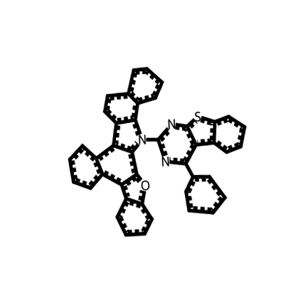 c1ccc(-c2nc(-n3c4c5ccccc5ccc4c4c5ccccc5c5c6ccccc6oc5c43)nc3sc4ccccc4c23)cc1